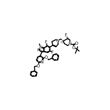 Cn1nc(-c2ccc(OCc3ccccc3)nc2OCc2ccccc2)c2cc(F)c(C3=CCN(C[C@@H]4CCN(C(=O)OC(C)(C)C)C[C@@H]4F)CC3)c(F)c21